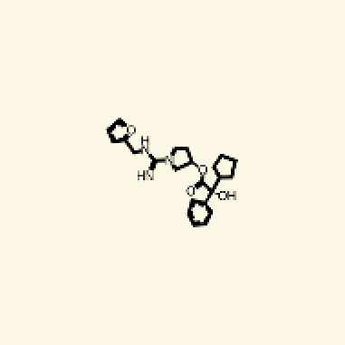 N=C(NCc1ccco1)N1CC[C@@H](OC(=O)[C@](O)(c2ccccc2)C2CCCC2)C1